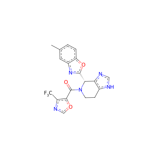 Cc1ccc2oc([C@@H]3c4nc[nH]c4CCN3C(=O)c3ocnc3C(F)(F)F)nc2c1